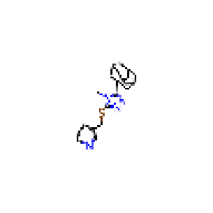 Cn1c(SCc2cccnc2)nnc1C12CC3CC(CC(C3)C1)C2